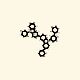 C1CCC(C2CCC3C(C2)C2CC(C4CCC5C(C4)C4CCCCC4N5C4CCCCC4)CCC2N3C2CCCC(C3CCCCC3)C2)CC1